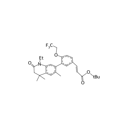 CCN1C(=O)CC(C)(C)c2cc(C)c(-c3cc(C=CC(=O)OC(C)(C)C)ccc3OCC(F)(F)F)cc21